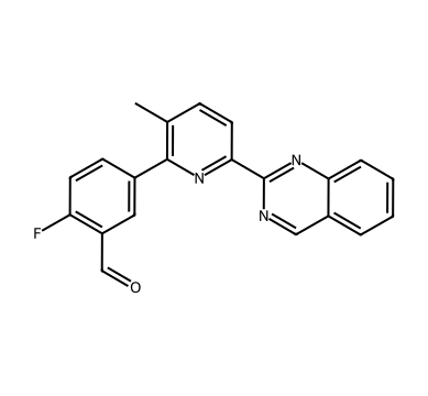 Cc1ccc(-c2ncc3ccccc3n2)nc1-c1ccc(F)c(C=O)c1